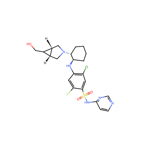 O=S(=O)(Nc1ccncn1)c1cc(Cl)c(N[C@@H]2CCCC[C@H]2N2C[C@@H]3C(CO)[C@@H]3C2)cc1F